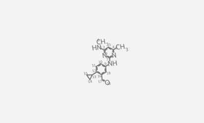 CNc1cc(C)nc(Nc2ccc(C3CC3)c(C=O)c2)n1